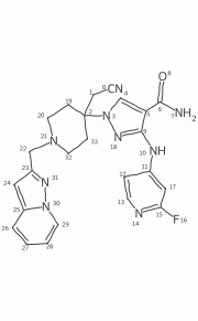 N#CCC1(n2cc(C(N)=O)c(Nc3ccnc(F)c3)n2)CCN(Cc2cc3ccccn3n2)CC1